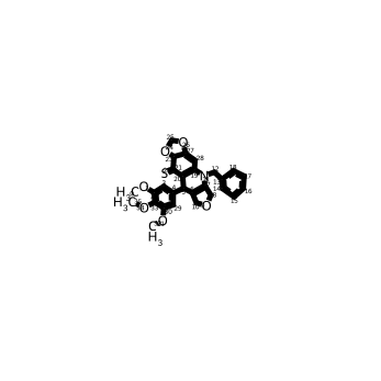 COc1cc(C2C3=C(COC3)N(Cc3ccccc3)C3=C2C(=S)C2OCOC2=C3)cc(OC)c1OC